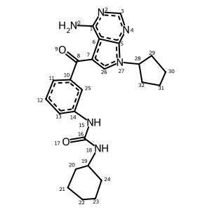 Nc1ncnc2c1c(C(=O)c1cccc(NC(=O)NC3CCCCC3)c1)cn2C1CCCC1